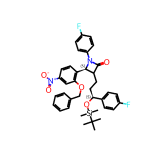 CC(C)(C)[Si](C)(C)O[C@@H](CCC1C(=O)N(c2ccc(F)cc2)[C@@H]1c1ccc([N+](=O)[O-])cc1OCc1ccccc1)c1ccc(F)cc1